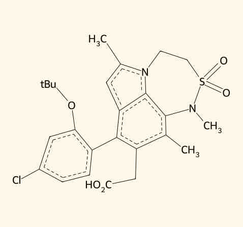 Cc1c(CC(=O)O)c(-c2ccc(Cl)cc2OC(C)(C)C)c2cc(C)n3c2c1N(C)S(=O)(=O)CC3